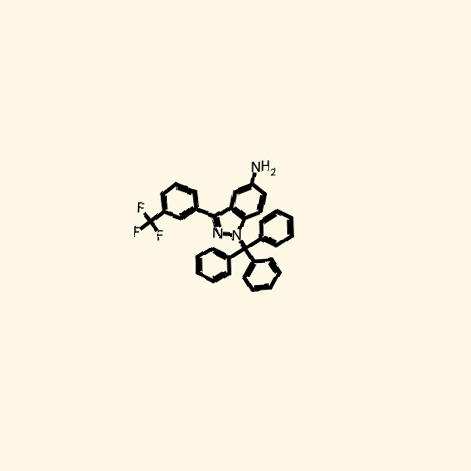 Nc1ccc2c(c1)c(-c1cccc(C(F)(F)F)c1)nn2C(c1ccccc1)(c1ccccc1)c1ccccc1